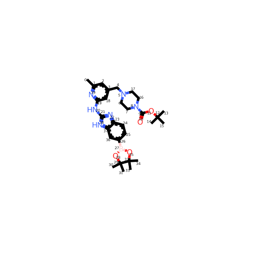 Cc1cc(CN2CCN(C(=O)OC(C)(C)C)CC2)cc(Nc2nc3ccc(B4OC(C)(C)C(C)(C)O4)cc3[nH]2)n1